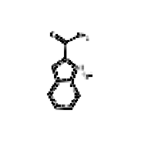 NC(=O)c1cc2ccccc2[nH]1.O